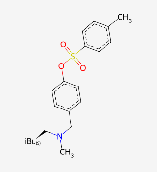 CC[C@H](C)CN(C)Cc1ccc(OS(=O)(=O)c2ccc(C)cc2)cc1